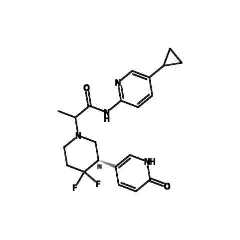 CC(C(=O)Nc1ccc(C2CC2)cn1)N1CCC(F)(F)[C@@H](c2ccc(=O)[nH]c2)C1